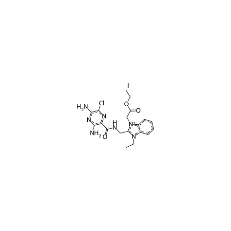 CCOC(=O)C[n+]1c(CNC(=O)c2nc(Cl)c(N)nc2N)n(CC)c2ccccc21.[I-]